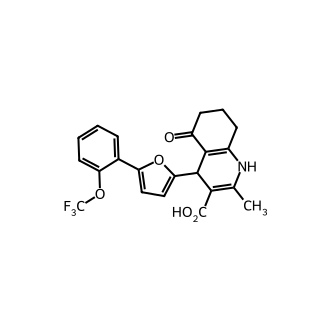 CC1=C(C(=O)O)C(c2ccc(-c3ccccc3OC(F)(F)F)o2)C2=C(CCCC2=O)N1